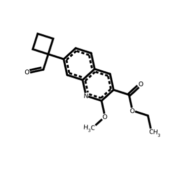 CCOC(=O)c1cc2ccc(C3(C=O)CCC3)cc2nc1OC